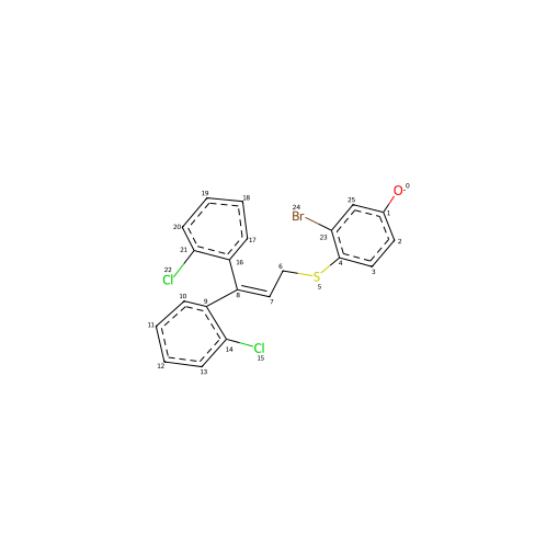 [O]c1ccc(SCC=C(c2ccccc2Cl)c2ccccc2Cl)c(Br)c1